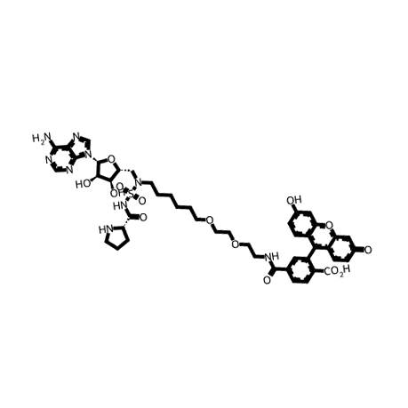 Nc1ncnc2c1ncn2[C@@H]1O[C@H](CN(CCCCCCOCCOCCNC(=O)c2ccc(C(=O)O)c(-c3c4ccc(=O)cc-4oc4cc(O)ccc34)c2)S(=O)(=O)NC(=O)[C@@H]2CCCN2)[C@@H](O)[C@H]1O